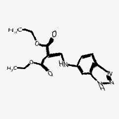 CCOC(=O)C(=CNc1ccc2nn[nH]c2c1)C(=O)OCC